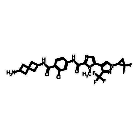 Cn1c(-c2cn(C3CC3(F)F)nc2C(F)(F)F)cnc1C(=O)Nc1ccc(C(=O)NC2CC3(CC(N)C3)C2)c(Cl)c1